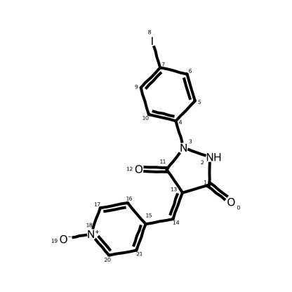 O=C1NN(c2ccc(I)cc2)C(=O)C1=Cc1cc[n+]([O-])cc1